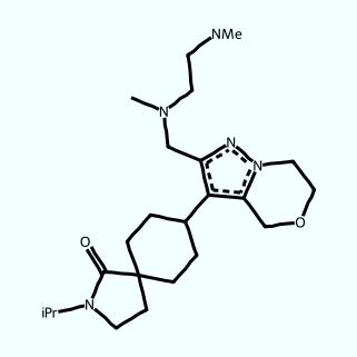 CNCCN(C)Cc1nn2c(c1C1CCC3(CC1)CCN(C(C)C)C3=O)COCC2